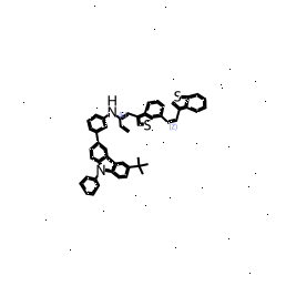 C=C/C(=C\c1csc2c(/C=C\c3csc4ccccc34)cccc12)Nc1cccc(-c2ccc3c(c2)c2cc(C(C)(C)C)ccc2n3-c2ccccc2)c1